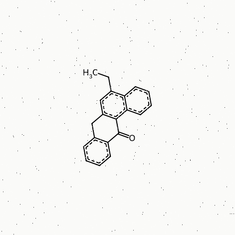 CCc1cc2c(c3ccccc13)C(=O)c1ccccc1C2